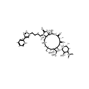 CC[C@H]1OC(=O)[C@H](C)C(=O)[C@H](C)[C@@H](O[C@@H]2O[C@H](C)CC(N(C)C)C2O)[C@](CC=O)(OC)C[C@@H](C)CN[C@H](C)[C@H]2N(CCCCn3cc(-c4ccccn4)nn3)C(=O)O[C@]12C